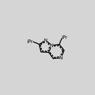 CC(C)c1cc2cncc(C(C)C)n2n1